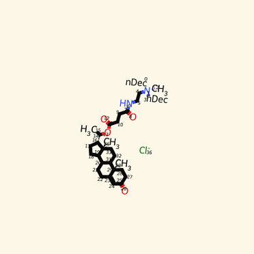 CCCCCCCCCC[N+](C)(CCCCCCCCCC)CCNC(=O)CCC(=O)OC(C)[C@H]1CCC2C3CCC4=CC(=O)CC[C@]4(C)C3CC[C@@]21C.[Cl-]